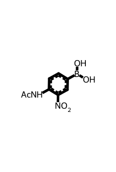 CC(=O)Nc1ccc(B(O)O)cc1[N+](=O)[O-]